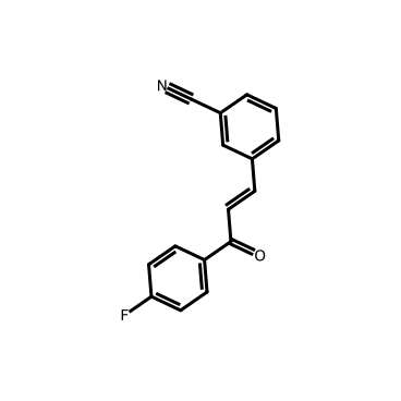 N#Cc1cccc(C=CC(=O)c2ccc(F)cc2)c1